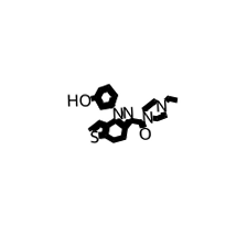 CCN1CCN(C(=O)c2nn(-c3cccc(O)c3)c3c2CCc2sccc2-3)CC1